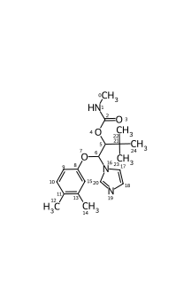 CNC(=O)OC(C(Oc1ccc(C)c(C)c1)n1ccnc1)C(C)(C)C